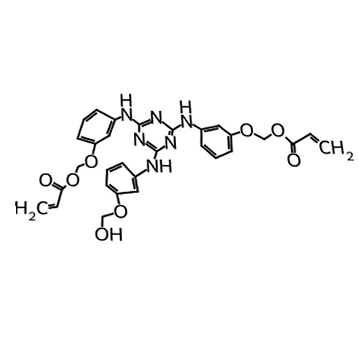 C=CC(=O)OCOc1cccc(Nc2nc(Nc3cccc(OCO)c3)nc(Nc3cccc(OCOC(=O)C=C)c3)n2)c1